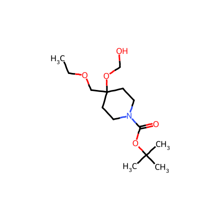 CCOCC1(OCO)CCN(C(=O)OC(C)(C)C)CC1